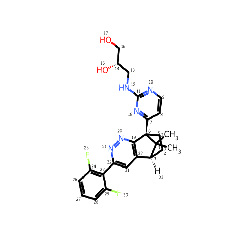 CC1(C)[C@H]2CC[C@@]1(c1ccnc(NC[C@H](O)CO)n1)c1nnc(-c3c(F)cccc3F)cc12